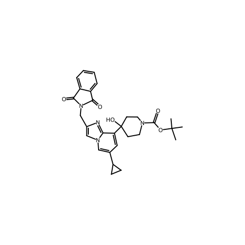 CC(C)(C)OC(=O)N1CCC(O)(c2cc(C3CC3)cn3cc(CN4C(=O)c5ccccc5C4=O)nc23)CC1